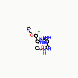 O=C(CC1CCCCC1)Nc1cncc(-c2ccc3[nH]nc(-c4nc5c(-c6cc(F)cc(OCCN7CCCC7)c6)cccc5[nH]4)c3n2)c1